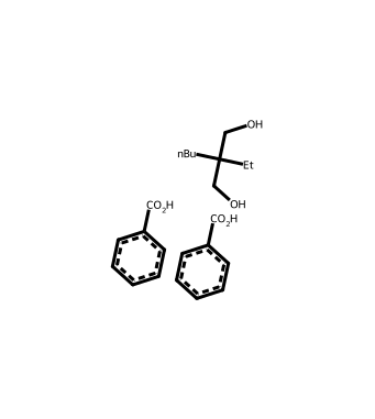 CCCCC(CC)(CO)CO.O=C(O)c1ccccc1.O=C(O)c1ccccc1